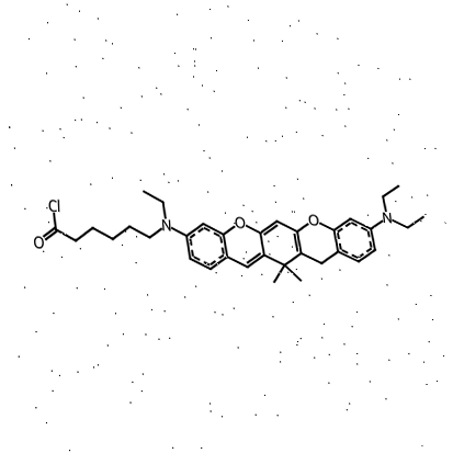 CCN(CC)c1ccc2c(c1)OC1=C(C2)C(C)(C)C2=Cc3ccc(N(CC)CCCCCC(=O)Cl)cc3OC2=C1